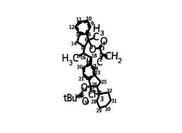 C=C(C)C(=O)OC1(C)c2ccccc2CC1C(C)Cc1ccc2c(c1)CC(C1CCCCC1)C2(C)OC(=O)C(C)(C)C